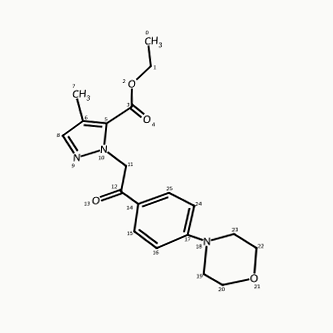 CCOC(=O)c1c(C)cnn1CC(=O)c1ccc(N2CCOCC2)cc1